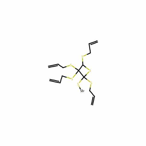 C=CCSC1SC([S][Sb])(SCC=C)C1(SCC=C)SCC=C